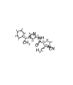 CC(c1ccccc1)n1cnc(NC(=O)[C@H]2CCN(C#N)[C@H]2C)c1